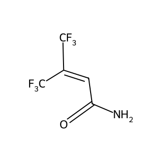 NC(=O)C=C(C(F)(F)F)C(F)(F)F